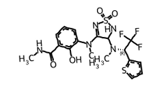 CNC(=O)c1cccc(N(C)C2=NS(=O)(=O)NC2N(C)[C@@H](c2cccs2)C(F)(F)F)c1O